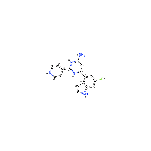 Nc1cc(-c2cc(F)cc3[nH]ccc23)nc(-c2ccncc2)n1